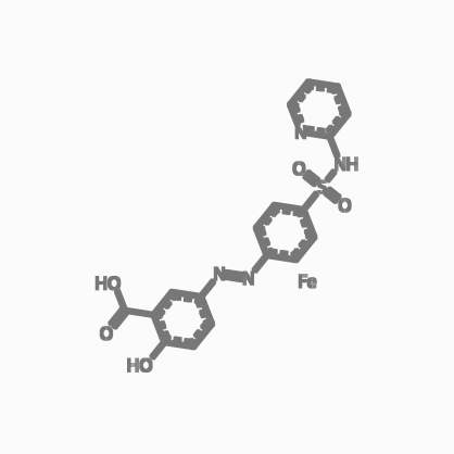 O=C(O)c1cc(N=Nc2ccc(S(=O)(=O)Nc3ccccn3)cc2)ccc1O.[Fe]